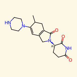 CC1CC2=C(C=C1N1CCNCC1)CN([C@@H]1CCC(=O)NC1=O)C2=O